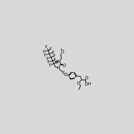 CCOC(Cc1ccc(OCCN(CC(F)(F)C(F)(F)C(F)(F)C(F)(F)C(F)(F)F)C(=O)NCCOC)cc1)C(=O)O